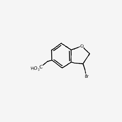 O=C(O)c1ccc2c(c1)C(Br)CO2